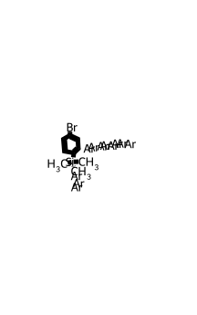 C[Si](C)(C)c1ccc(Br)cc1.[Ar].[Ar].[Ar].[Ar].[Ar].[Ar].[Ar].[Ar].[Ar].[Ar].[Ar]